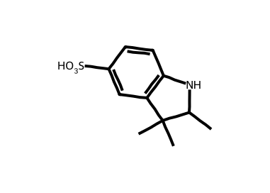 CC1Nc2ccc(S(=O)(=O)O)cc2C1(C)C